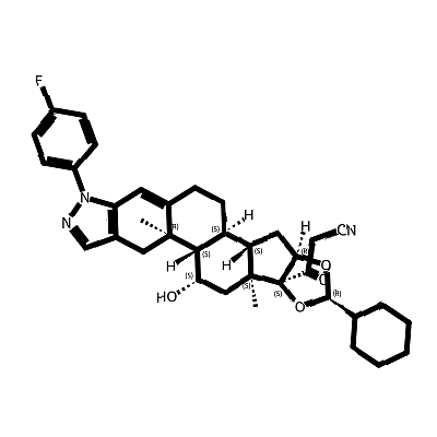 C[C@]12Cc3cnn(-c4ccc(F)cc4)c3C=C1CC[C@@H]1[C@@H]2[C@@H](O)C[C@@]2(C)[C@H]1C[C@H]1O[C@@H](C3CCCCC3)O[C@]12C(=O)CC#N